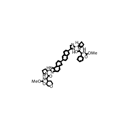 COC(=O)N[C@H](C(=O)N1CCC[C@H]1c1nc2ccc3cc(-c4ccc5cc(-c6cnc([C@@H]7[C@H]8CC[C@H](C8)N7C(=O)[C@H](NC(=O)OC)c7ccccc7)[nH]6)ccc5c4)ccc3c2[nH]1)C1CCOCC1